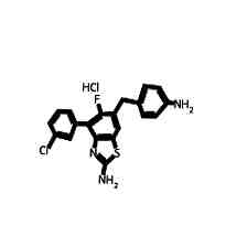 Cl.Nc1ccc(Cc2cc3sc(N)nc3c(-c3cccc(Cl)c3)c2F)cc1